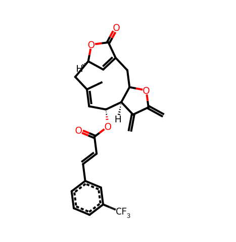 C=C1OC2CC3=C[C@@H](C/C(C)=C/[C@@H](OC(=O)/C=C/c4cccc(C(F)(F)F)c4)[C@@H]2C1=C)OC3=O